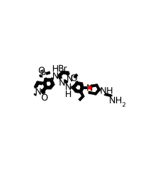 CCc1cc(Nc2ncc(Br)c(Nc3ccc4c(=O)n(C)ccc4c3P(C)(C)=O)n2)c(OC)cc1N1CCC(NCCN)CC1